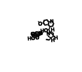 C=C[C@H]1CN2CC[C@H]1C[C@@H]2[C@@H](O)c1ccnc2ccc(OC)cc12.O.O.O=S(=O)(O)O